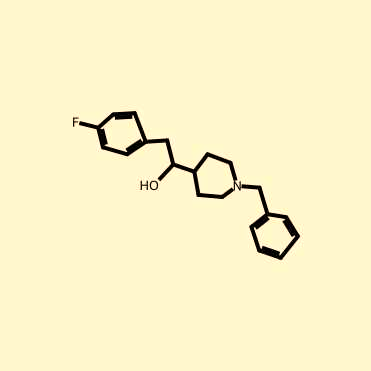 OC(Cc1ccc(F)cc1)C1CCN(Cc2ccccc2)CC1